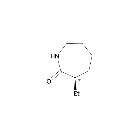 CC[C@@H]1CCCCNC1=O